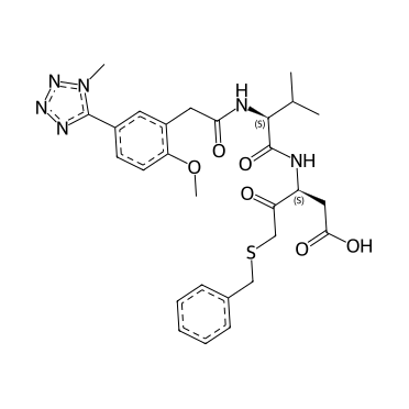 COc1ccc(-c2nnnn2C)cc1CC(=O)N[C@H](C(=O)N[C@@H](CC(=O)O)C(=O)CSCc1ccccc1)C(C)C